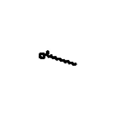 CCCCCCCCCCCCSCC(=O)c1ccccc1